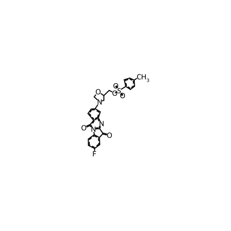 Cc1ccc(S(=O)(=O)OCC2CN(c3ccc4c(=O)n5c(nc4c3)C(=O)c3cc(F)ccc3-5)CO2)cc1